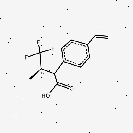 C=Cc1ccc(C(C(=O)O)[C@@H](C)C(F)(F)F)cc1